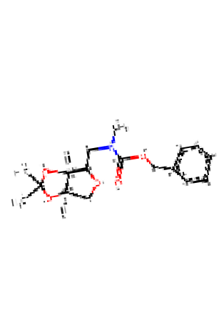 CN(CC1OC[C@H]2OC(C)(C)O[C@@H]12)C(=O)OCc1ccccc1